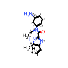 C/C=C\c1nc(C(=O)N(CC)C2=CCC=C(N)C2)[nH]c1C